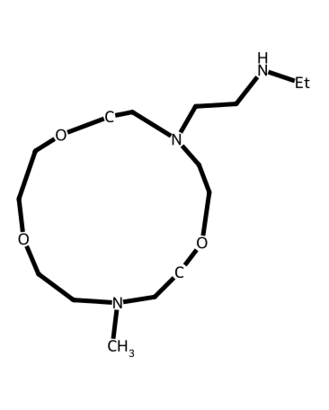 CCNCCN1CCOCCOCCN(C)CCOCC1